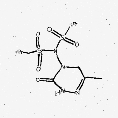 CCCS(=O)(=O)N(N1CC(C)=NNC1=O)S(=O)(=O)CCC